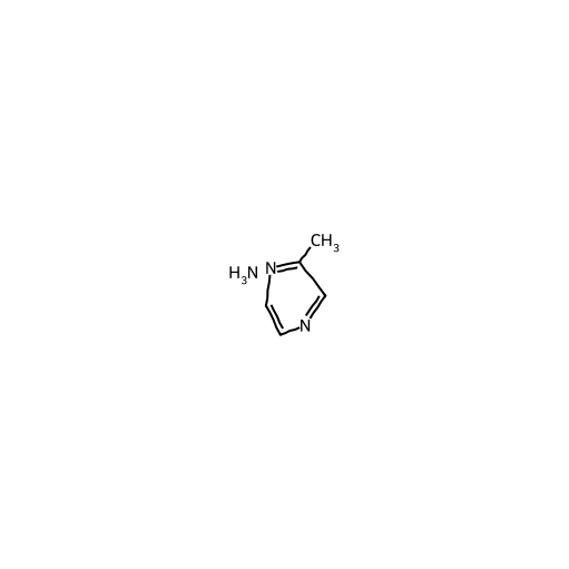 Cc1cnccn1.N